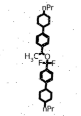 CCCC1CCC(c2ccc(C(C)OC(F)(F)c3ccc(C4CCC(CCC)CC4)cc3)cc2)CC1